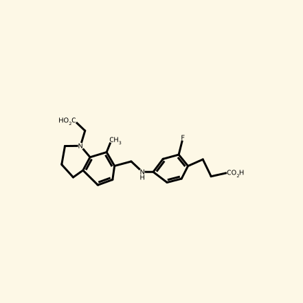 Cc1c(CNc2ccc(CCC(=O)O)c(F)c2)ccc2c1N(CC(=O)O)CCC2